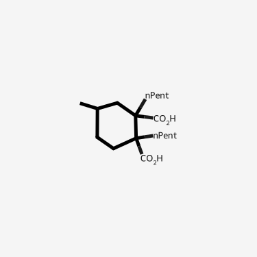 CCCCCC1(C(=O)O)CCC(C)CC1(CCCCC)C(=O)O